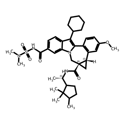 COc1ccc2c(c1)[C@@H]1C[C@]1(C(=O)N[C@@H](C)C1CCC(C)C1(C)C)Cn1c-2c(C2CCCCC2)c2ccc(C(=O)NS(=O)(=O)N(C)C)cc21